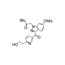 COc1ccc2c(C(=O)c3ccc(CCO)nc3)nn(CC(=O)C(C)(C)C)c2c1